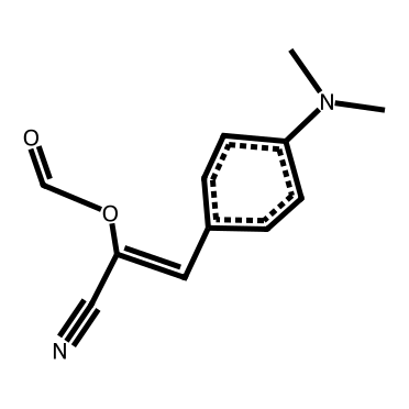 CN(C)c1ccc(C=C(C#N)OC=O)cc1